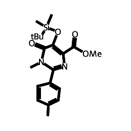 COC(=O)c1nc(-c2ccc(C)cc2)n(C)c(=O)c1O[Si](C)(C)C(C)(C)C